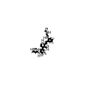 CN/C(=C\C(C)=N)Nc1cc(C(/C=C\N)=C(\CO)C/C=C/C2=C(NCCNC=O)CC(C)(C)C2)cn(C)c1=O